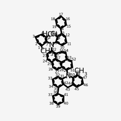 Cc1cccc(C)c1N(c1cccc(-c2ccccc2)c1C)c1ccc2ccc3c(N4c5cccc(-c6ccccc6)c5Cc5cccc(C)c54)ccc4ccc1c2c43